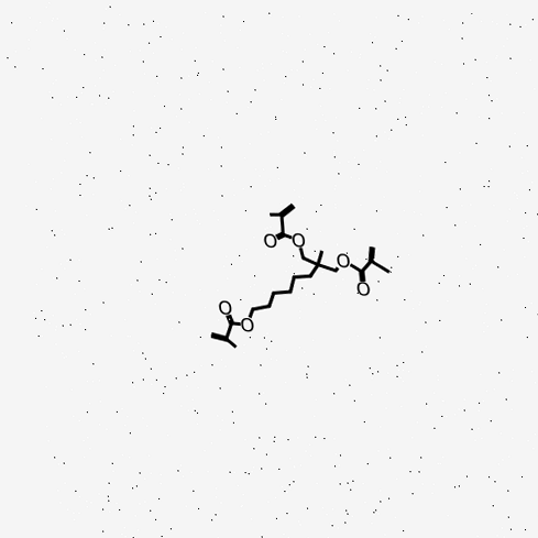 C=C(C)C(=O)OCCCCCCC(C)(COC(=O)C(=C)C)COC(=O)C(=C)C